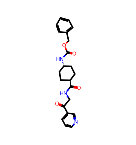 O=C(N[C@H]1CC[C@H](C(=O)NCC(=O)c2cccnc2)CC1)OCc1ccccc1